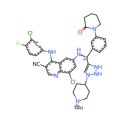 CC(C)(C)N1CCC(N2C=C([C@@H](Nc3cc(Cl)c4ncc(C#N)c(Nc5ccc(F)c(Cl)c5)c4c3)c3cccc(N4CCCCC4=O)c3)NN2)CC1